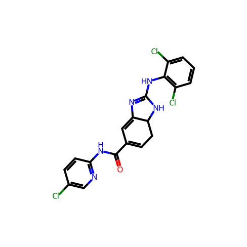 O=C(Nc1ccc(Cl)cn1)C1=CCC2NC(Nc3c(Cl)cccc3Cl)=NC2=C1